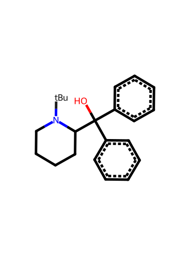 CC(C)(C)N1CCCCC1C(O)(c1ccccc1)c1ccccc1